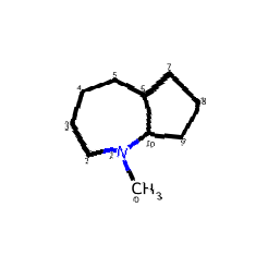 CN1CCCCC2CCCC21